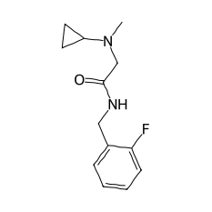 CN(CC(=O)NCc1ccccc1F)C1CC1